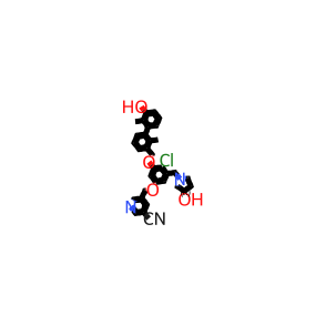 Cc1c(O)cccc1-c1cccc(COc2cc(OCc3cncc(C#N)c3)cc(CN3CC[C@@H](O)C3)c2Cl)c1C